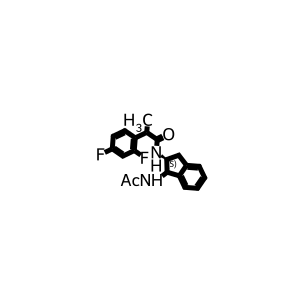 CC(=O)NC1c2ccccc2C[C@@H]1NC(=O)C(C)c1ccc(F)cc1F